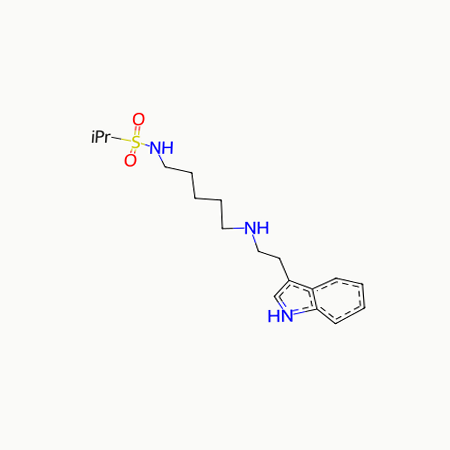 CC(C)S(=O)(=O)NCCCCCNCCc1c[nH]c2ccccc12